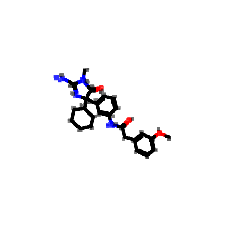 COc1cccc(CC(=O)Nc2cccc(C3(C4CCCCC4)N=C(N)N(C)C3=O)c2)c1